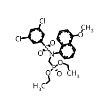 CCOP(=O)(CN(c1cccc2c(OC)cccc12)S(=O)(=O)c1cc(Cl)cc(Cl)c1)OCC